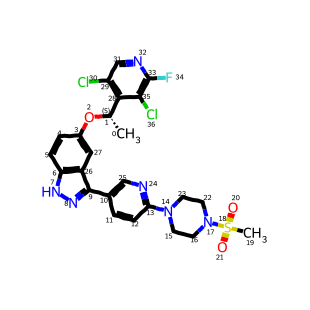 C[C@H](Oc1ccc2[nH]nc(-c3ccc(N4CCN(S(C)(=O)=O)CC4)nc3)c2c1)c1c(Cl)cnc(F)c1Cl